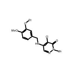 CCOc1cc(CNc2cnn(C(C)C)c(=O)c2Cl)ccc1OC